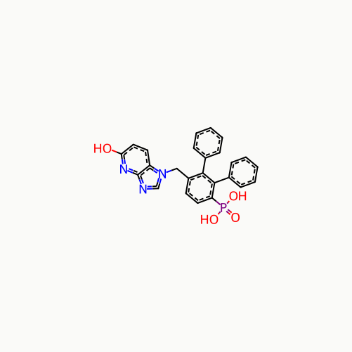 O=P(O)(O)c1ccc(Cn2cnc3nc(O)ccc32)c(-c2ccccc2)c1-c1ccccc1